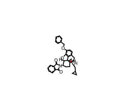 O=C1c2ccccc2C(=O)N1[C@@H]1CC[C@@]2(O)[C@H]3Cc4ccc(OCc5ccccc5)c5c4[C@@]2(CCN3CC2CC2)[C@H]1O5